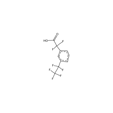 O=C(O)C(F)(F)c1cccc(C(F)(F)C(F)(F)F)c1